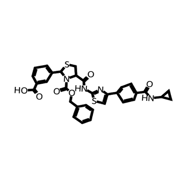 O=C(O)c1cccc(C2SCC(C(=O)Nc3nc(-c4ccc(C(=O)NC5CC5)cc4)cs3)N2C(=O)OCc2ccccc2)c1